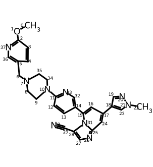 COc1ccc(CN2CCN(c3ccc(-c4cc(-c5cnn(C)c5)cc5ncc(C#N)n45)cn3)CC2)cn1